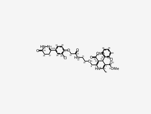 COC(=O)C1=C(C)NC(COCCNC(=O)COc2ccc(C3=NNC(=O)CC3)cc2Cl)=C(C(=O)OC)C1c1ccccc1Cl